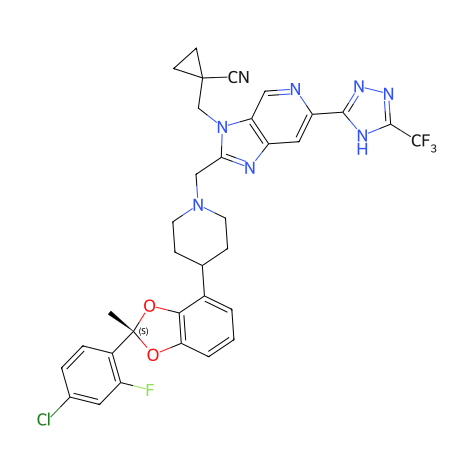 C[C@]1(c2ccc(Cl)cc2F)Oc2cccc(C3CCN(Cc4nc5cc(-c6nnc(C(F)(F)F)[nH]6)ncc5n4CC4(C#N)CC4)CC3)c2O1